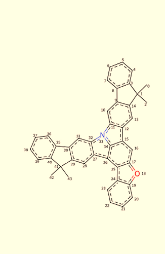 CC1(C)c2ccccc2-c2cc3c(cc21)c1cc2oc4ccccc4c2c2c4cc5c(cc4n3c12)-c1ccccc1C5(C)C